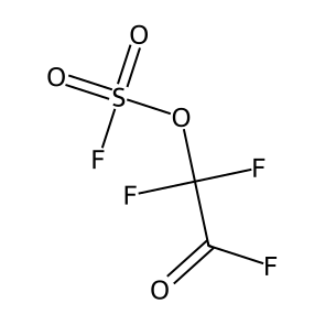 O=C(F)C(F)(F)OS(=O)(=O)F